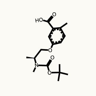 Cc1ccc(OC[C@H](C)N(C)C(=O)OC(C)(C)C)cc1C(=O)O